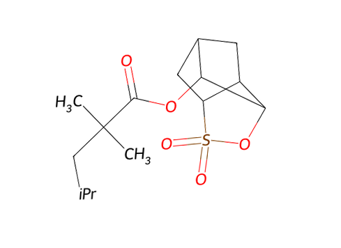 CC(C)CC(C)(C)C(=O)OC1C2CC3C1OS(=O)(=O)C3C2